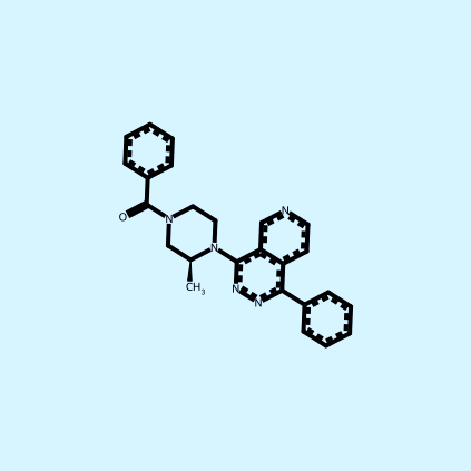 C[C@H]1CN(C(=O)c2ccccc2)CCN1c1nnc(-c2ccccc2)c2ccncc12